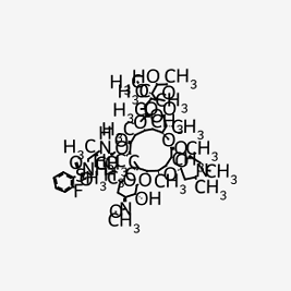 CO/N=C1\C[C@@H](C)O[C@@H](O[C@@H]2[C@@H](C)[C@H](O[C@H]3CC(C)N(C)C[C@H](C)O3)[C@@H](C)C(=O)O[C@H]([C@@H](C)CO[C@@H]3O[C@H](C)[C@@H](O)[C@@H](OC)[C@H]3OC)[C@H](C)[C@@H](OC(=O)CC(C)C)[C@@H](C)C(=O)[C@@](C)(OC(=O)NC(C)(C)CNS(=O)(=O)c3ccccc3F)C[C@@H]2C)[C@@H]1O